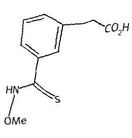 CONC(=S)c1cccc(CC(=O)O)c1